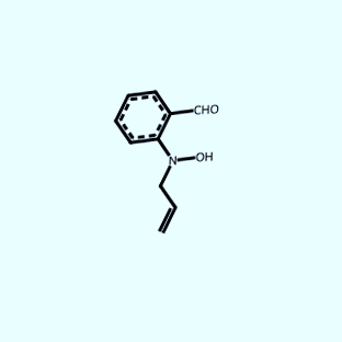 C=CCN(O)c1ccccc1C=O